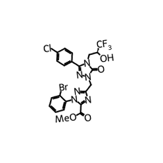 COC(=O)c1nc(Cn2nc(-c3ccc(Cl)cc3)n(C[C@H](O)C(F)(F)F)c2=O)nn1-c1ccccc1Br